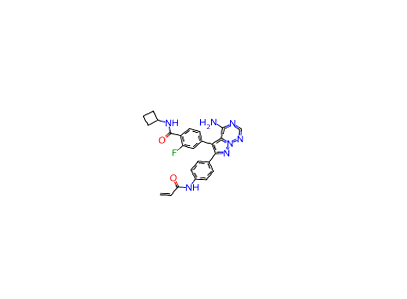 C=CC(=O)Nc1ccc(-c2nn3ncnc(N)c3c2-c2ccc(C(=O)NC3CCC3)c(F)c2)cc1